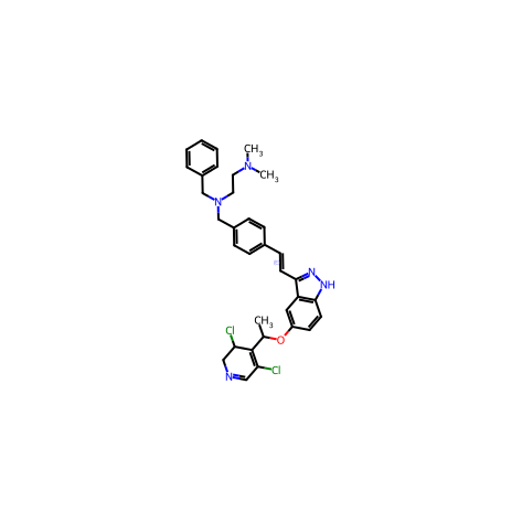 CC(Oc1ccc2[nH]nc(/C=C/c3ccc(CN(CCN(C)C)Cc4ccccc4)cc3)c2c1)C1=C(Cl)C=NCC1Cl